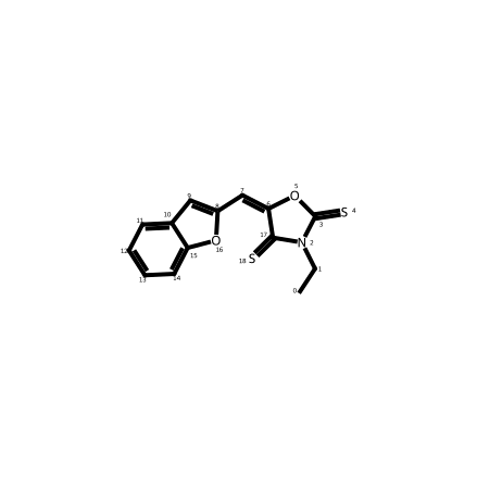 CCN1C(=S)O/C(=C/c2cc3ccccc3o2)C1=S